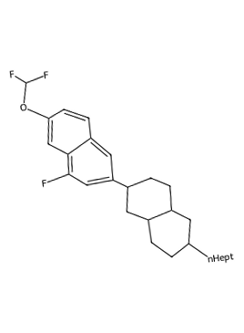 CCCCCCCC1CCC2CC(c3cc(F)c4cc(OC(F)F)ccc4c3)CCC2C1